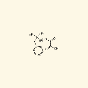 CCC[N+](CCC)(CCC)Cc1ccccc1.O=C(O)C(=O)O